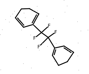 FC(F)(C1=CCCC=C1)C(F)(F)C1=CCCC=C1